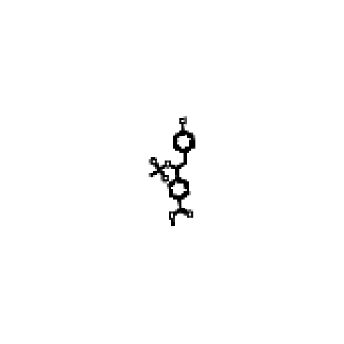 COC(=O)c1ccc(C(Cc2ccc(Cl)cc2)OS(C)(=O)=O)cc1